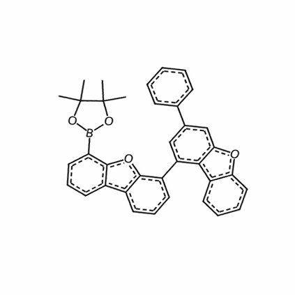 CC1(C)OB(c2cccc3c2oc2c(-c4cc(-c5ccccc5)cc5oc6ccccc6c45)cccc23)OC1(C)C